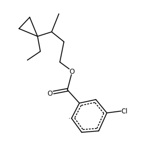 CCC1(C(C)CCOC(=O)c2[c]ccc(Cl)c2)CC1